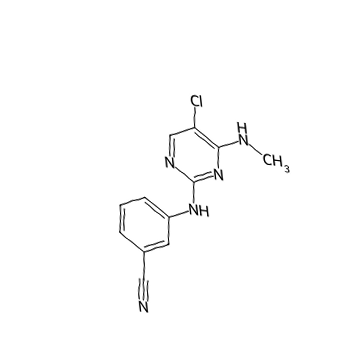 CNc1nc(Nc2cccc(C#N)c2)ncc1Cl